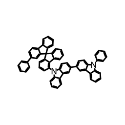 c1ccc(-c2ccc3c(c2)C2(c4ccccc4-3)c3ccccc3-c3c(-n4c5ccccc5c5cc(-c6ccc7c(c6)c6ccccc6n7-c6ccccc6)ccc54)cccc32)cc1